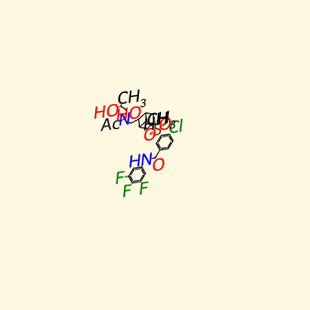 CC(=O)N(C[C@@H](C)O)C[C@]1(O)C2C[C@H](S(=O)(=O)c3cc(C(=O)Nc4cc(F)c(F)c(F)c4)ccc3Cl)CC1[C@@H]2C